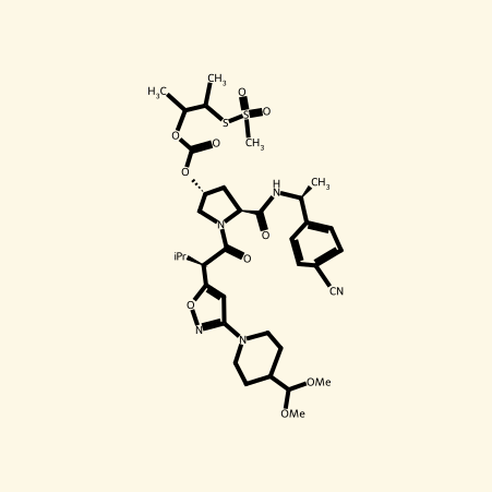 COC(OC)C1CCN(c2cc([C@H](C(=O)N3C[C@H](OC(=O)OC(C)C(C)SS(C)(=O)=O)C[C@H]3C(=O)N[C@@H](C)c3ccc(C#N)cc3)C(C)C)on2)CC1